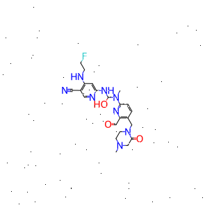 CN1CCN(Cc2ccc(N(C)C(O)Nc3cc(NCCF)c(C#N)cn3)nc2C=O)C(=O)C1